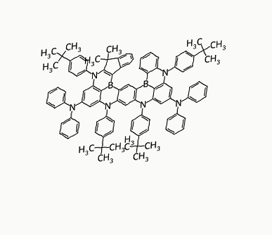 CC(C)(C)c1ccc(N2C3=C(B4c5cc6c(cc5N(c5ccc(C(C)(C)C)cc5)c5cc(N(c7ccccc7)c7ccccc7)cc2c54)N(c2ccc(C(C)(C)C)cc2)c2cc(N(c4ccccc4)c4ccccc4)cc4c2B6c2ccccc2N4c2ccc(C(C)(C)C)cc2)c2ccccc2C3(C)C)cc1